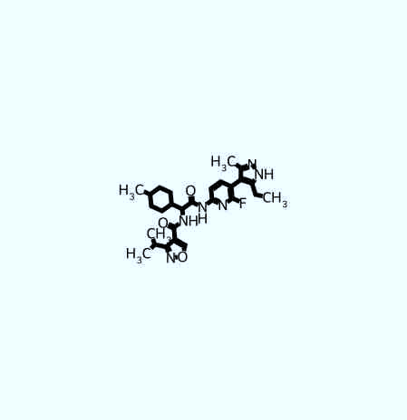 CCc1[nH]nc(C)c1-c1ccc(NC(=O)C(NC(=O)c2conc2C(C)C)C2CCC(C)CC2)nc1F